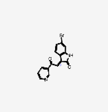 O=C1Nc2cc(Br)ccc2/C1=C\C(=O)c1cccnc1